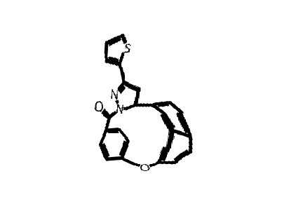 O=C1c2ccc(cc2)Oc2ccc3ccc(cc3c2)C2CC(c3cccs3)=NN12